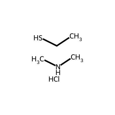 CCS.CNC.Cl